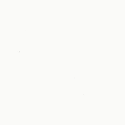 O=C1OC(=CCc2ccc(F)c(Br)c2)C2=C1CCCC2